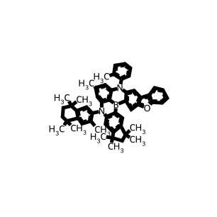 Cc1cc2c3c(c1)N(c1ccccc1C)c1cc4c(cc1B3c1cc3c(cc1N2c1cc2c(cc1C)C(C)(C)CCC2(C)C)C(C)(C)CC3(C)C)oc1ccccc14